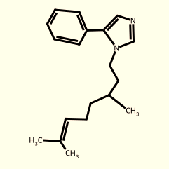 CC(C)=CCCC(C)CCn1cncc1-c1ccccc1